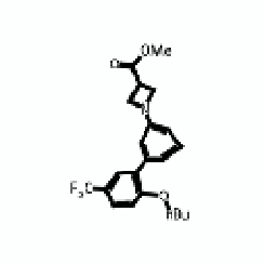 CCCCOc1ccc(C(F)(F)F)cc1-c1cccc(N2CC(C(=O)OC)C2)c1